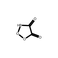 O=C1BOOC1=O